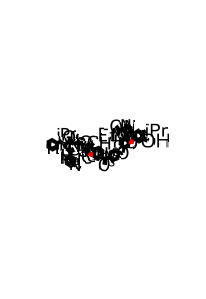 CCNC(=O)c1nnc(-c2cc(C(C)C)c(O)cc2O)n1-c1ccc(OC2CCN(C(=O)c3ccc(C4(C)OB([C@H](CC(C)C)NC(=O)[C@H](Cc5ccccc5)NC(=O)c5cnccn5)OC4(C)C)cc3)CC2)cc1